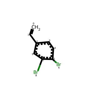 C=Cc1ccc(Br)c(Br)c1